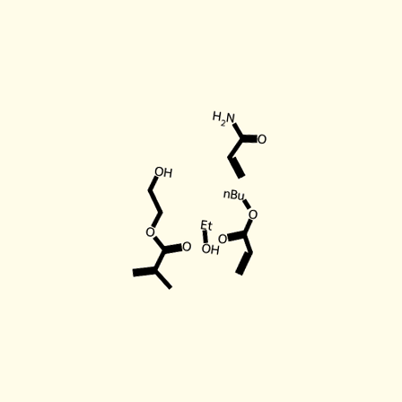 C=C(C)C(=O)OCCO.C=CC(=O)OCCCC.C=CC(N)=O.CCO